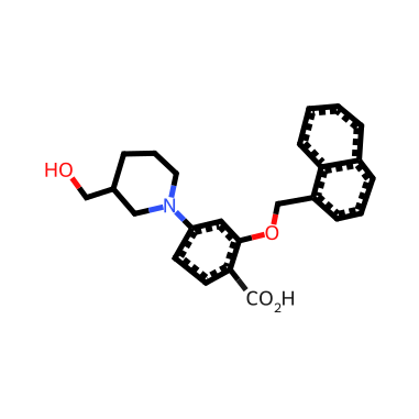 O=C(O)c1ccc(N2CCCC(CO)C2)cc1OCc1cccc2ccccc12